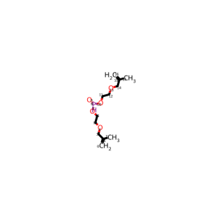 C=C(C)COCCO[PH](=O)OCCOCC(=C)C